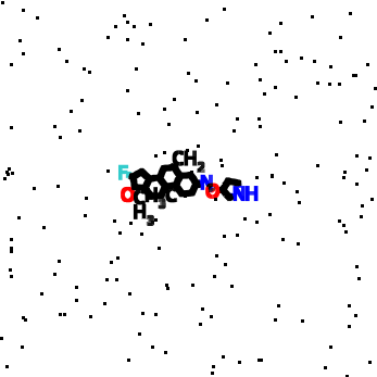 C=C1CC2C3CC(F)C(=O)C3(C)CCC2C2(C)CCC(=NOC3CCNC3)CC12